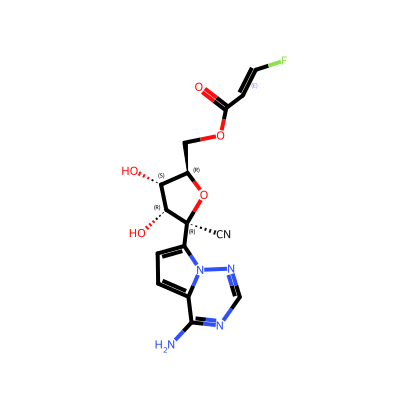 N#C[C@@]1(c2ccc3c(N)ncnn23)O[C@H](COC(=O)/C=C/F)[C@@H](O)[C@H]1O